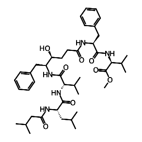 COC(=O)[C@@H](NC(=O)[C@H](Cc1ccccc1)NC(=O)CC[C@H](O)[C@H](Cc1ccccc1)NC(=O)[C@@H](NC(=O)[C@H](CC(C)C)NC(=O)CC(C)C)C(C)C)C(C)C